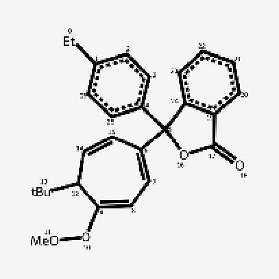 CCc1ccc(C2(C3=CC=C(OOC)C(C(C)(C)C)C=C3)OC(=O)c3ccccc32)cc1